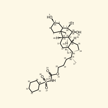 CC[C@@H]1C2C[C@H](O)CCC2(C)[C@H]2CC[C@]3(C)[C@@H]([C@H](C)CCCOC(=O)NS(=O)(=O)C4CCCCC4)CC[C@H]3[C@@H]2[C@@H]1O